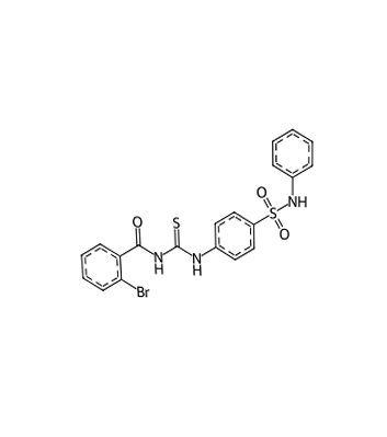 O=C(NC(=S)Nc1ccc(S(=O)(=O)Nc2ccccc2)cc1)c1ccccc1Br